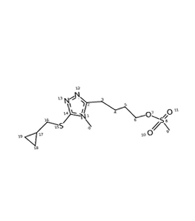 Cn1c(CCCCOS(C)(=O)=O)nnc1SCC1CC1